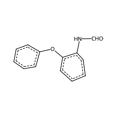 O=[C]Nc1ccccc1Oc1ccccc1